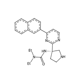 CCN(CC)C(=O)N[C@@]1(c2nccc(-c3ccc4ccccc4c3)n2)CCNC1